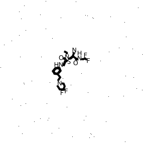 CCn1c(=O)c(=CNc2cccc(CCN3CCC(F)(F)CC3)c2)s/c1=C(/C#N)C(=O)NCC(F)F